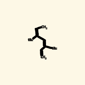 C=C/C(=C\C(=C/C)C(C)(C)C)C(C)(C)C